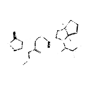 CC[C@@H](O)C(O)N1[C@H](C(=O)N[C@@H](C[C@@H]2CCNC2=O)C(=O)COC(F)(F)F)C[C@@H]2CCC[C@@H]21